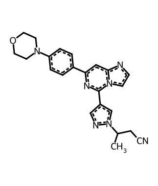 CC(CC#N)n1cc(-c2nc(-c3ccc(N4CCOCC4)cc3)cc3nccn23)cn1